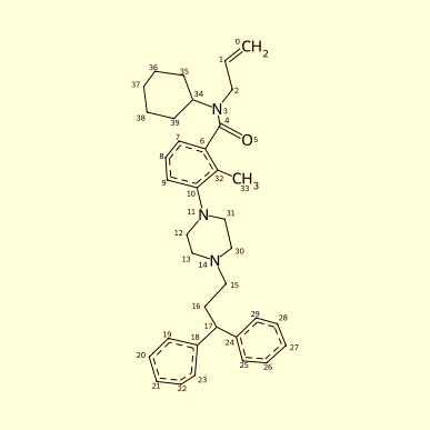 C=CCN(C(=O)c1cccc(N2CCN(CCC(c3ccccc3)c3ccccc3)CC2)c1C)C1CCCCC1